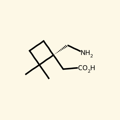 CC1(C)CC[C@@]1(CN)CC(=O)O